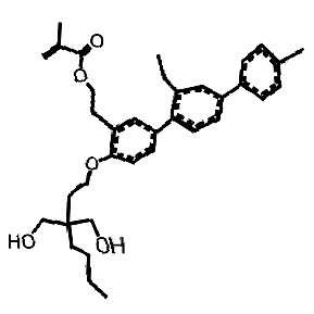 C=C(C)C(=O)OCCc1cc(-c2ccc(-c3ccc(C)cc3)cc2CC)ccc1OCCC(CO)(CO)CCCC